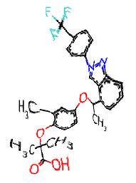 Cc1cc(OC(C)c2cccc3nn(-c4ccc(C(F)(F)F)cc4)cc23)ccc1OC(C)(C)C(=O)O